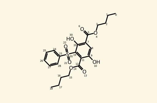 CCCCOC(=O)c1cc(O)c(C(=O)OCCCC)c(S(=O)(=O)c2ccccc2)c1O